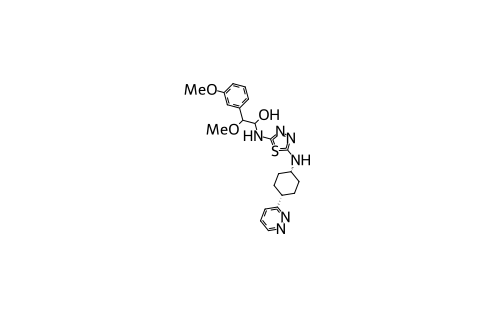 COc1cccc(C(OC)C(O)Nc2nnc(N[C@H]3CC[C@@H](c4cccnn4)CC3)s2)c1